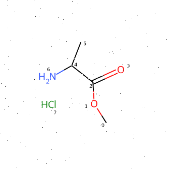 COC(=O)C(C)N.Cl